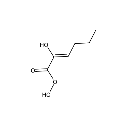 CCCC=C(O)C(=O)OO